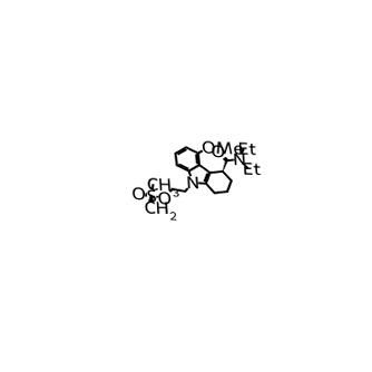 C=S(C)(=O)OCCn1c2c(c3c(OC)cccc31)[C@@H](C(=O)N(CC)CC)CCC2